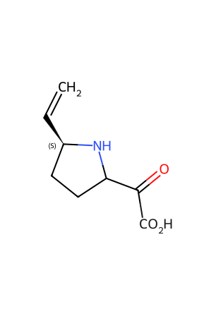 C=C[C@@H]1CCC(C(=O)C(=O)O)N1